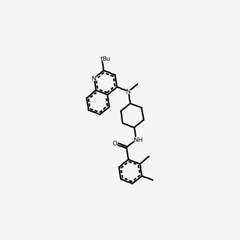 Cc1cccc(C(=O)NC2CCC(N(C)c3cc(C(C)(C)C)nc4ccccc34)CC2)c1C